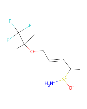 CC(C=CCOC(C)(C)C(F)(F)F)[S+](N)[O-]